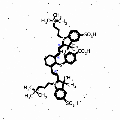 CC1(C)C(/C=C/C2=C(Sc3ccc(C(=O)O)cc3)C(=C/C=C3/N(CCC[N+](C)(C)C)c4ccc(S(=O)(=O)O)cc4C3(C)C)/CCC2)=[N+](CCC[N+](C)(C)C)c2ccc(S(=O)(=O)O)cc21